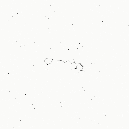 CC(=O)/C=C\N(C=O)C(=O)CCCCCOC1CCCCO1